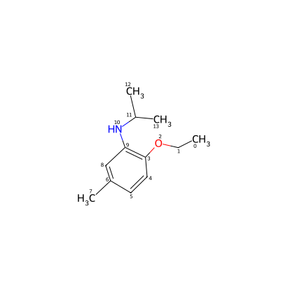 CCOc1ccc(C)cc1NC(C)C